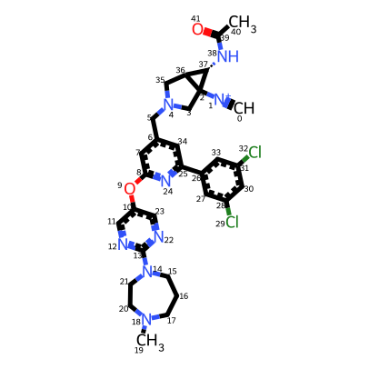 C#[N+]C12CN(Cc3cc(Oc4cnc(N5CCCN(C)CC5)nc4)nc(-c4cc(Cl)cc(Cl)c4)c3)CC1[C@@H]2NC(C)=O